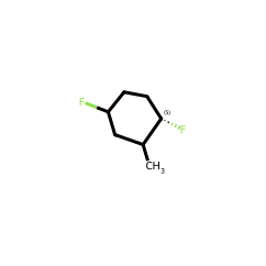 CC1CC(F)CC[C@@H]1F